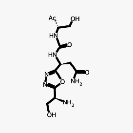 CC(=O)[C@H](CO)NC(=O)N[C@@H](CC(N)=O)c1nnc([C@@H](N)CO)o1